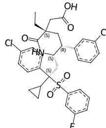 CC[C@@]1(CC(=O)O)C[C@H](c2cccc(Cl)c2)[C@H](C[C@@](c2ccc(Cl)cc2)(C2CC2)S(=O)(=O)c2cccc(F)c2)NC1=O